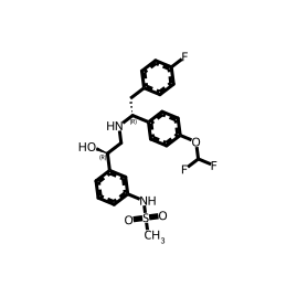 CS(=O)(=O)Nc1cccc([C@@H](O)CN[C@H](Cc2ccc(F)cc2)c2ccc(OC(F)F)cc2)c1